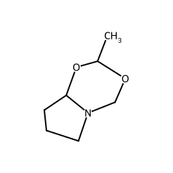 CC1OCN2CCCC2O1